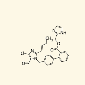 CC/C=C/c1nc(Cl)c(C=O)n1Cc1ccc(-c2ccccc2C(=O)OCc2ncc[nH]2)cc1